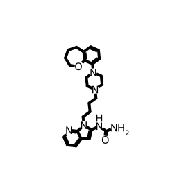 NC(=O)Nc1cc2cccnc2n1CCCCN1CCN(c2cccc3c2OCCCC3)CC1